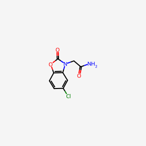 NC(=O)Cn1c(=O)oc2ccc(Cl)cc21